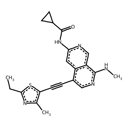 CCc1nc(C)c(C#Cc2cnc(NC)c3cnc(NC(=O)C4CC4)cc23)s1